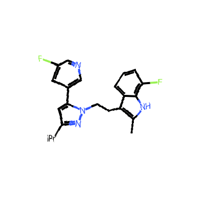 Cc1[nH]c2c(F)cccc2c1CCn1nc(C(C)C)cc1-c1cncc(F)c1